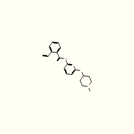 C=Cc1ccccc1C(=O)Nc1cccc(SC2CCN(C)CC2)n1